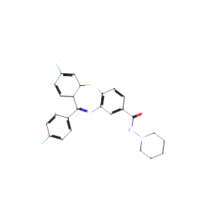 O=C(NN1CCCCC1)c1ccc2c(c1)N=C(c1ccc(Cl)cc1)C1C=CC(Cl)=CC1S2